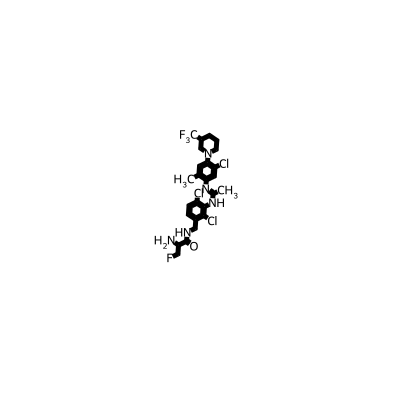 C/C(=N\c1cc(Cl)c(N2CCCC(C(F)(F)F)C2)cc1C)Nc1c(Cl)ccc(CNC(=O)C(N)CF)c1Cl